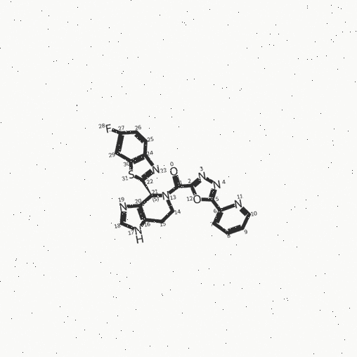 O=C(c1nnc(-c2ccccn2)o1)N1CCc2[nH]cnc2[C@H]1c1nc2ccc(F)cc2s1